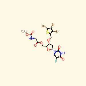 CC(C)(C)OC(=O)NCC(=O)OC[C@H]1O[C@@H](n2cc(F)c(=O)[nH]c2=O)C[C@@H]1OCc1sc(Br)c(Br)c1Br